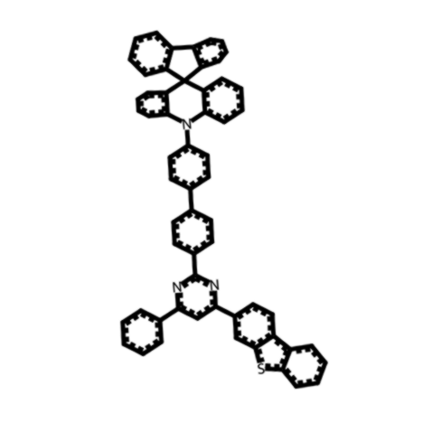 c1ccc(-c2cc(-c3ccc4c(c3)sc3ccccc34)nc(-c3ccc(-c4ccc(N5c6ccccc6C6(c7ccccc7-c7ccccc76)c6ccccc65)cc4)cc3)n2)cc1